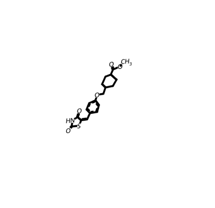 COC(=O)C1CCC(COc2ccc(C=C3SC(=O)NC3=O)cc2)CC1